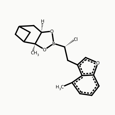 Cc1cccc2occ(C[C@@H](Cl)B3O[C@@H]4CC5CC(C5)[C@]4(C)O3)c12